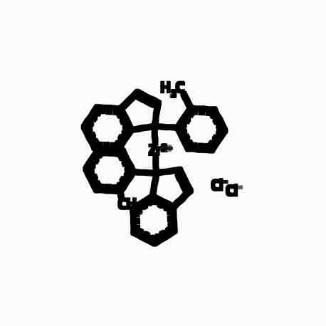 Cc1ccccc1[C]1([Zr+2][C]2(c3ccccc3C)C=Cc3ccccc32)C=Cc2ccccc21.[Cl-].[Cl-]